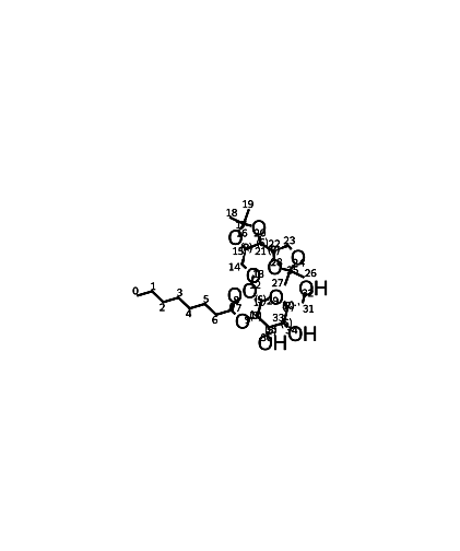 CCCCCCCC(=O)O[C@@H]1[C@H](OOC[C@H]2OC(C)(C)O[C@H]2[C@H]2COC(C)(C)O2)O[C@H](CO)[C@@H](O)[C@@H]1O